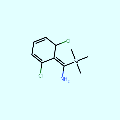 C[Si](C)(C)/C(N)=C1/C(Cl)=CC=CC1Cl